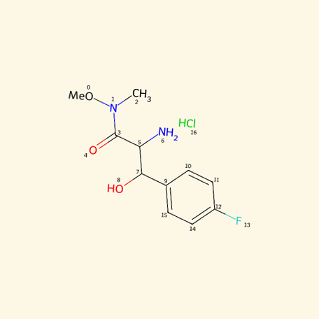 CON(C)C(=O)C(N)C(O)c1ccc(F)cc1.Cl